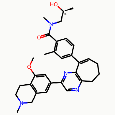 COc1cc(-c2cnc3c(n2)C(c2ccc(C(=O)N(C)C[C@H](C)O)c(C)c2)=CCCC3)cc2c1CCN(C)C2